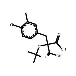 Cc1cc(CC(OC(C)(C)C)(C(=O)O)C(=O)O)ccc1Cl